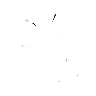 CO[C@H]1C(c2[nH]c(=O)nc3oc(C)cc23)O[C@H](CO)[C@@H]1O